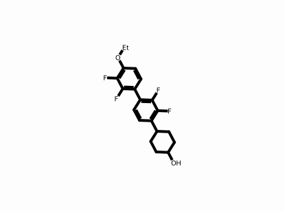 CCOc1ccc(-c2ccc(C3CCC(O)CC3)c(F)c2F)c(F)c1F